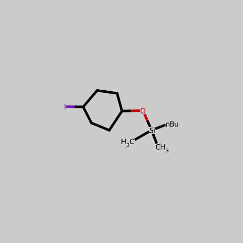 CCCC[Si](C)(C)OC1CCC(I)CC1